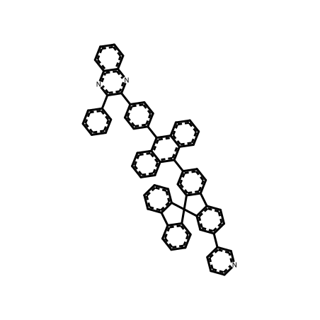 c1ccc(-c2nc3ccccc3nc2-c2ccc(-c3c4ccccc4c(-c4ccc5c(c4)C4(c6ccccc6-c6ccccc64)c4cc(-c6cccnc6)ccc4-5)c4ccccc34)cc2)cc1